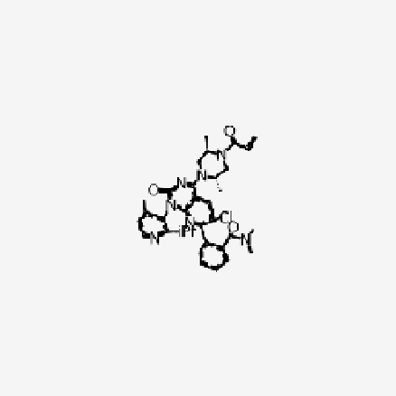 C=CC(=O)N1C[C@H](C)N(c2nc(=O)n(-c3c(C)ccnc3C(C)C)c3nc(-c4ccccc4C(=O)N(C)C)c(Cl)cc23)C[C@H]1C